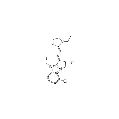 CCN1CCSC1=CC=C1CCn2c1[n+](CC)c1cccc(Cl)c12.[I-]